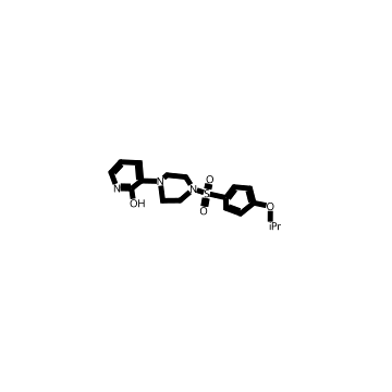 CC(C)Oc1ccc(S(=O)(=O)N2CCN(c3cccnc3O)CC2)cc1